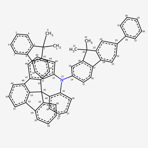 CC1(C)c2ccccc2-c2ccc(N(c3ccc4c(c3)C(C)(C)c3cc(-c5ccccc5)ccc3-4)c3ccccc3C34c5ccccc5-c5cccc(c53)-c3ccccc34)cc21